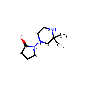 CC1(C)CN(N2CCCC2=O)CCN1